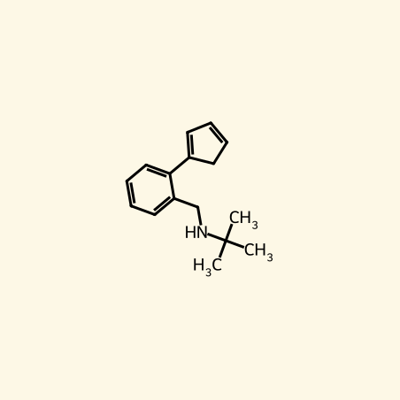 CC(C)(C)NCc1ccccc1C1=CC=CC1